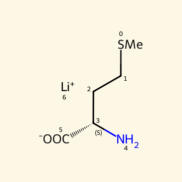 CSCC[C@H](N)C(=O)[O-].[Li+]